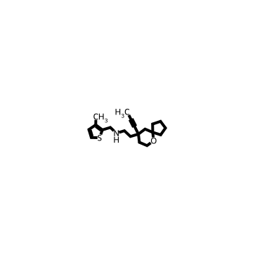 CC#CC1(CCNCc2sccc2C)CCOC2(CCCC2)C1